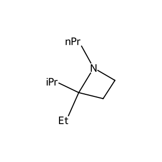 CCCN1CCC1(CC)C(C)C